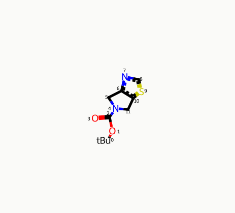 CC(C)(C)OC(=O)N1Cc2ncsc2C1